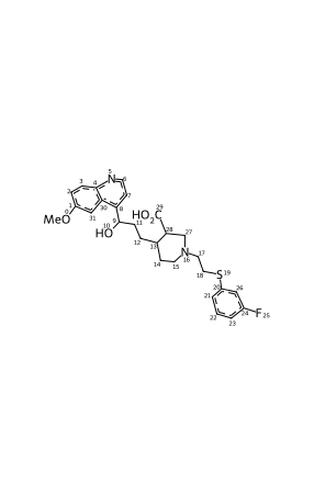 COc1ccc2nccc(C(O)CCC3CCN(CCSc4cccc(F)c4)CC3C(=O)O)c2c1